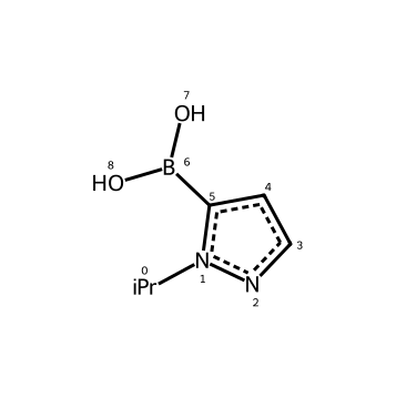 CC(C)n1nccc1B(O)O